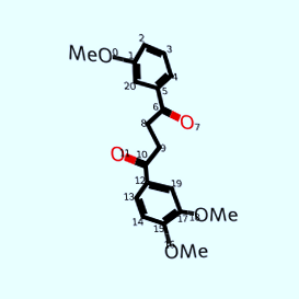 COc1cccc(C(=O)CCC(=O)c2ccc(OC)c(OC)c2)c1